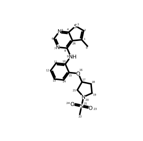 Cc1csc2ncnc(Nc3ccccc3OC3CCN(S(C)(=O)=O)C3)c12